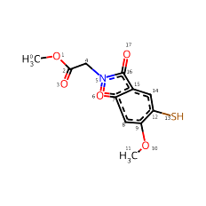 COC(=O)Cn1oc2cc(OC)c(S)cc2c1=O